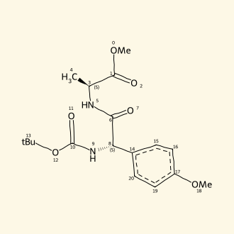 COC(=O)[C@H](C)NC(=O)[C@@H](NC(=O)OC(C)(C)C)c1ccc(OC)cc1